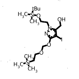 CC(C)(C)[Si](C)(C)OCCn1nc(OCOCC[Si](C)(C)C)c(I)c1CO